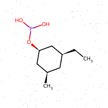 CC[C@H]1C[C@@H](C)C[C@@H](OP(O)O)C1